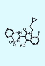 O=c1c(C2=NS(=O)(=O)c3ccccc3N2)c(O)c2cccc(F)c2n1CCC1CC1